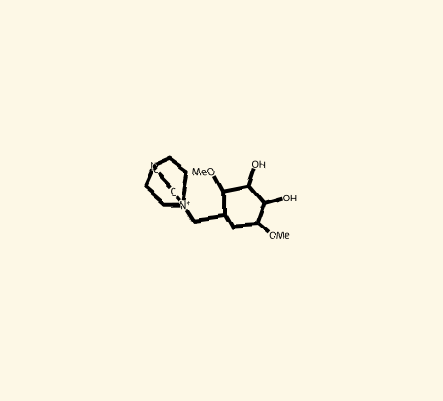 COC1CC(C[N+]23CCN(CC2)CC3)C(OC)C(O)C1O